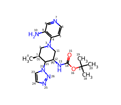 C[C@H]1CN(c2ccncc2N)C[C@@H](NC(=O)OC(C)(C)C)C1n1ccnn1